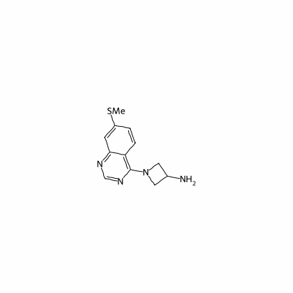 CSc1ccc2c(N3CC(N)C3)ncnc2c1